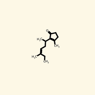 CCC(C)=CCC(C)C1=C(C)CCC1=O